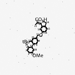 COc1ccc(F)c(-c2ccc(COc3ccc4c(c3)[C@H]([C@H](C)C(=O)O)CC4)cc2C(C)(C)C)c1